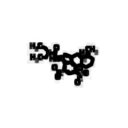 CCN(CC)C(=O)Nn1cc2c3c(c([N+](=O)[O-])cc([N+](=O)[O-])c31)[C@H]1CCCN(C)[C@@H]1C2